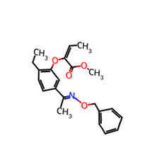 CC=C(Oc1cc(C(C)=NOCc2ccccc2)ccc1CC)C(=O)OC